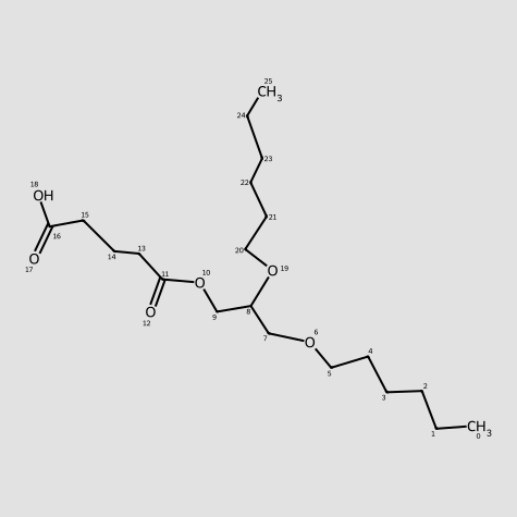 CCCCCCOCC(COC(=O)CCCC(=O)O)OCCCCCC